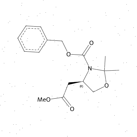 COC(=O)C[C@@H]1COC(C)(C)N1C(=O)OCc1ccccc1